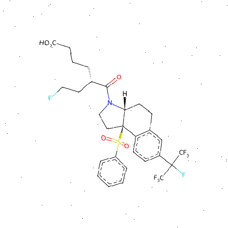 O=C(O)CCC[C@@H](CCF)C(=O)N1CC[C@@]2(S(=O)(=O)c3ccccc3)c3ccc(C(F)(C(F)(F)F)C(F)(F)F)cc3CC[C@@H]12